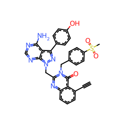 C#Cc1cccc2nc(Cn3nc(-c4ccc(O)cc4)c4c(N)ncnc43)n(Cc3ccc(S(C)(=O)=O)cc3)c(=O)c12